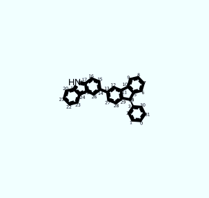 c1ccc([C@@H]2c3ccccc3-c3cc(-c4ccc5[nH]c6ccccc6c5c4)ccc32)cc1